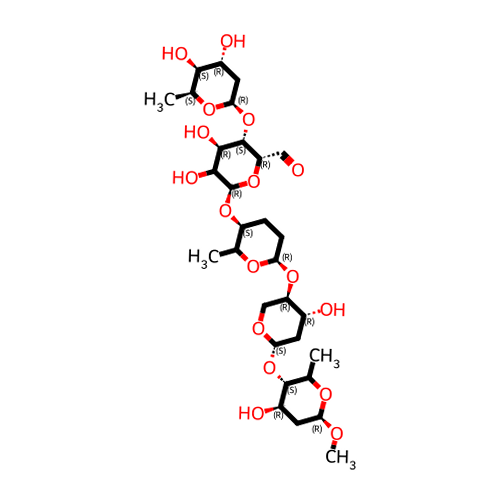 CO[C@H]1C[C@@H](O)[C@H](O[C@H]2C[C@@H](O)[C@H](O[C@@H]3CC[C@H](O[C@@H]4O[C@@H](C=O)[C@@H](O[C@@H]5C[C@@H](O)[C@H](O)[C@H](C)O5)[C@H](O)C4O)C(C)O3)CO2)C(C)O1